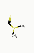 C[S+](C)C=S